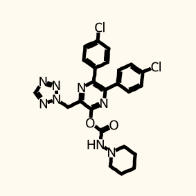 O=C(NN1CCCCC1)Oc1nc(-c2ccc(Cl)cc2)c(-c2ccc(Cl)cc2)nc1Cn1ncnn1